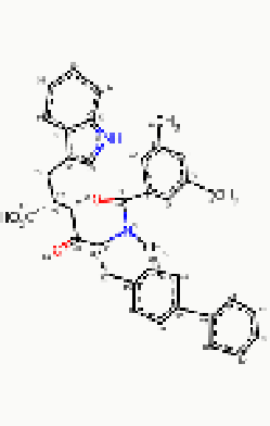 Cc1cc(C)cc(C(=O)N(C)[C@H](Cc2ccc(-c3ccccc3)cc2)C(=O)C[C@@H](Cc2c[nH]c3ccccc23)C(=O)O)c1